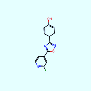 OC1=CCC(c2noc(-c3ccnc(F)c3)n2)C=C1